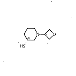 S[C@@H]1CCCN(C2COC2)C1